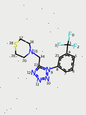 FC(F)(F)c1cccc(-n2nnnc2CN2CCSCC2)c1